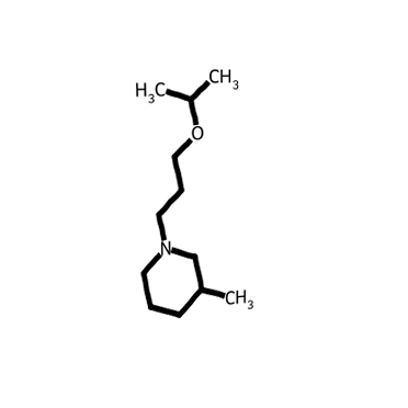 CC1CCCN(CCCOC(C)C)C1